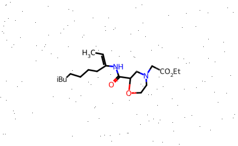 C/C=C(\CCCCC(C)CC)NC(=O)C1CN(CC(=O)OCC)CCO1